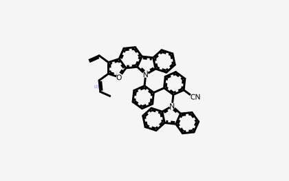 C=Cc1c(/C=C\C)oc2c1ccc1c3ccccc3n(-c3ccccc3-c3cccc(C#N)c3-n3c4ccccc4c4ccccc43)c12